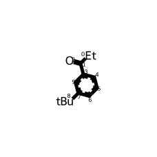 CCC(=O)c1cccc(C(C)(C)C)c1